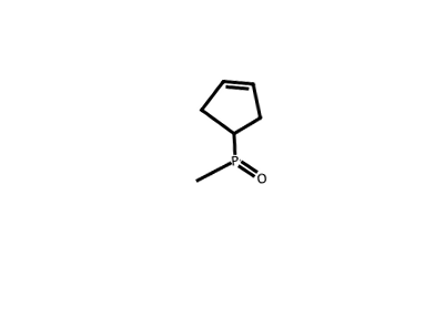 C[P](=O)C1CC=CC1